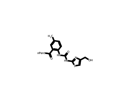 CCCCCC(=O)c1cc(C)ccc1NC(=O)Nc1nc(CO)cs1